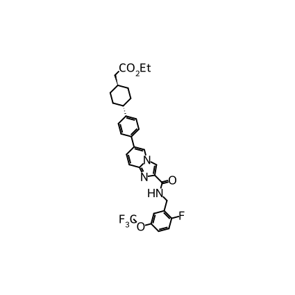 CCOC(=O)C[C@H]1CC[C@H](c2ccc(-c3ccc4nc(C(=O)NCc5cc(OC(F)(F)F)ccc5F)cn4c3)cc2)CC1